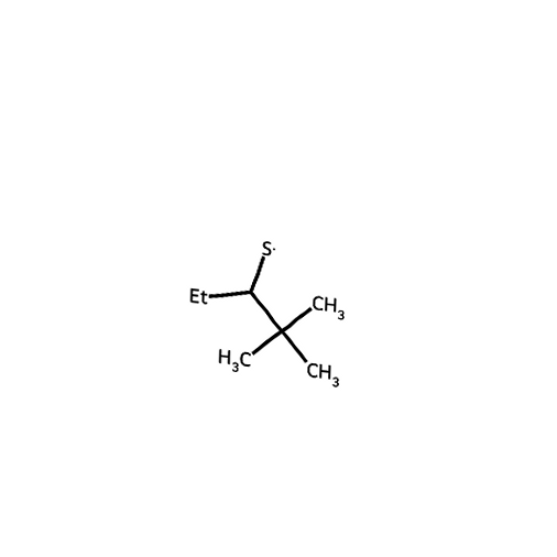 CCC([S])C(C)(C)C